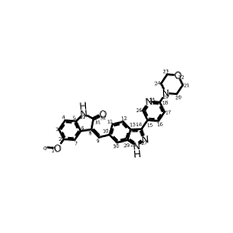 COc1ccc2c(c1)C(=Cc1ccc3c(-c4ccc(N5CCOCC5)nc4)n[nH]c3c1)C(=O)N2